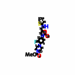 COC(=O)N1CCN(c2ccc(N3CC(CNC(=S)CC(C)C)OC3=O)cc2F)CC1